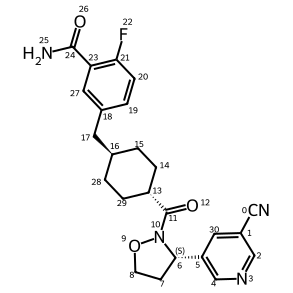 N#Cc1cncc([C@@H]2CCON2C(=O)[C@H]2CC[C@H](Cc3ccc(F)c(C(N)=O)c3)CC2)c1